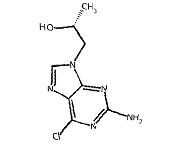 C[C@@H](O)Cn1cnc2c(Cl)nc(N)nc21